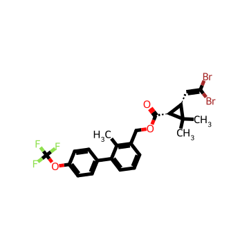 Cc1c(COC(=O)[C@@H]2[C@H](C=C(Br)Br)C2(C)C)cccc1-c1ccc(OC(F)(F)F)cc1